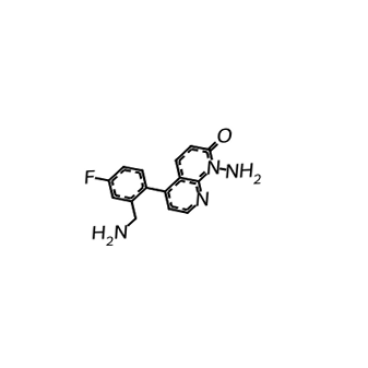 NCc1cc(F)ccc1-c1ccnc2c1ccc(=O)n2N